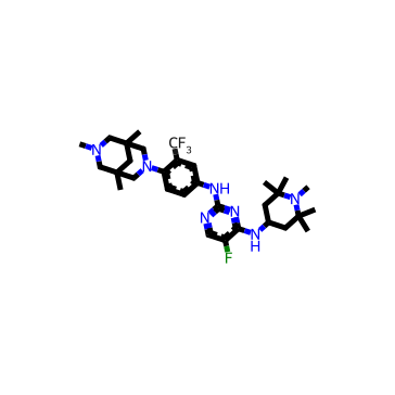 CN1CC2(C)CN(c3ccc(Nc4ncc(F)c(NC5CC(C)(C)N(C)C(C)(C)C5)n4)cc3C(F)(F)F)CC(C)(C1)C2